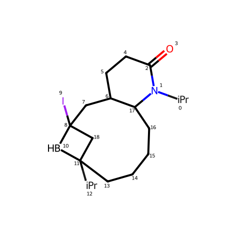 CC(C)N1C(=O)CCC2CC3(I)BC(C(C)C)(CCCCC21)C3